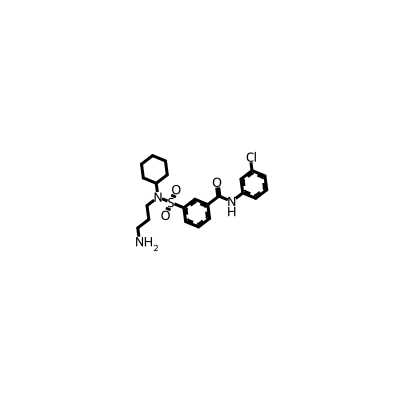 NCCCN(C1CCCCC1)S(=O)(=O)c1cccc(C(=O)Nc2cccc(Cl)c2)c1